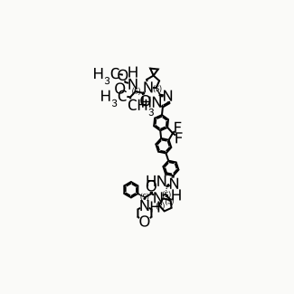 COC(=O)N[C@H](C(=O)N1CC2(CC2)C[C@H]1c1ncc(-c2ccc3c(c2)C(F)(F)c2cc(-c4ccc5nc([C@@H]6[C@H]7CC[C@H](C7)N6C(=O)[C@H](c6ccccc6)N6CCOCC6)[nH]c5c4)ccc2-3)[nH]1)C(C)C